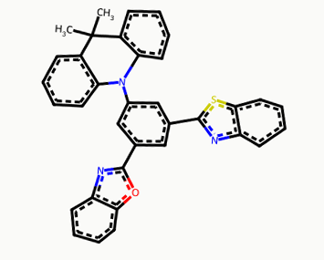 CC1(C)c2ccccc2N(c2cc(-c3nc4ccccc4o3)cc(-c3nc4ccccc4s3)c2)c2ccccc21